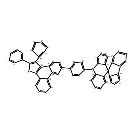 c1ccc(-c2oc3c4ccccc4c4cc(-c5ccc(N6c7ccccc7C7(c8ccccc8-c8ccccc87)c7ccccc76)cc5)ccc4c3c2-c2ccccc2)cc1